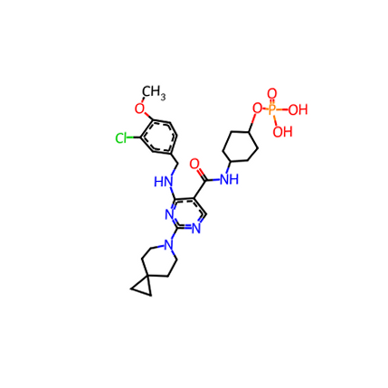 COc1ccc(CNc2nc(N3CCC4(CC3)CC4)ncc2C(=O)NC2CCC(OP(=O)(O)O)CC2)cc1Cl